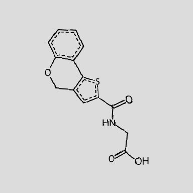 O=C(O)CNC(=O)c1cc2c(s1)-c1ccccc1OC2